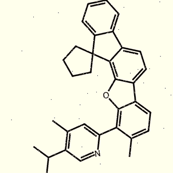 Cc1cc(-c2c(C)ccc3c2oc2c4c(ccc23)-c2ccccc2C42CCCC2)ncc1C(C)C